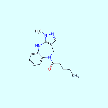 CCCCC(=O)N1Cc2cnn(C)c2Nc2ccccc21